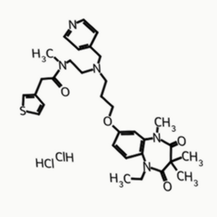 CCN1C(=O)C(C)(C)C(=O)N(C)c2cc(OCCCN(CCN(C)C(=O)Cc3ccsc3)Cc3ccncc3)ccc21.Cl.Cl